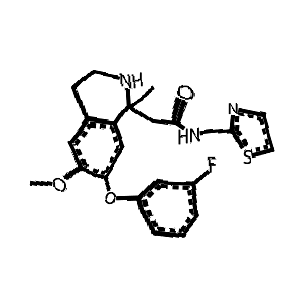 COc1cc2c(cc1Oc1cccc(F)c1)C(C)(CC(=O)Nc1nccs1)NCC2